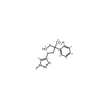 Cn1nnc(CCC(CO)(C(=O)O)c2ccccc2)n1